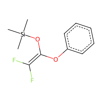 C[Si](C)(C)OC(Oc1ccccc1)=C(F)F